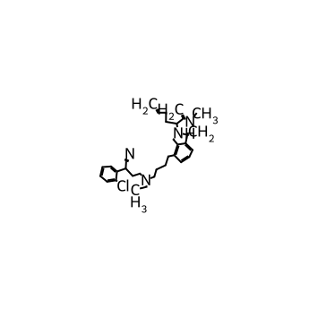 C=CCCC(C(=C)NC)N1Cc2c(CCCCN(CC)CCC(C#N)c3ccccc3Cl)cccc2C1=C